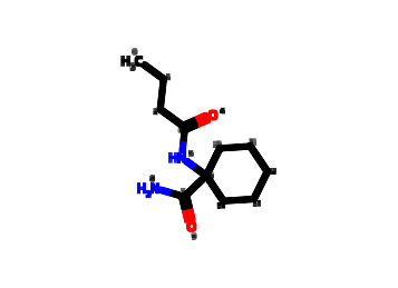 CCCC(=O)NC1(C(N)=O)CCCCC1